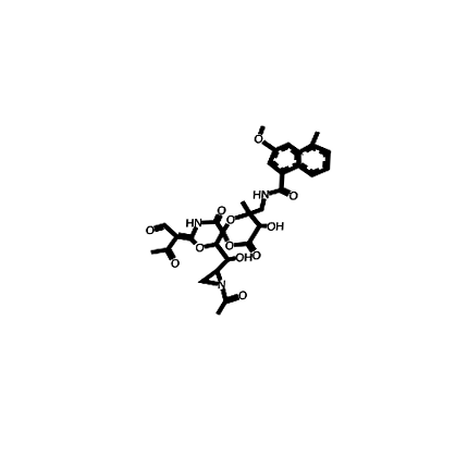 COc1cc(C(=O)NCC2(C)OC3(OC(=O)C2O)C(=O)N/C(=C(\C=O)C(C)=O)OC3C(O)C2CN2C(C)=O)c2cccc(C)c2c1